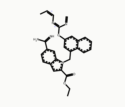 C=N/C(=N\C=C/C)Oc1cc(Cn2c(C(=O)OCC)cc3ccc(C(=N)N)cc32)c2ccccc2c1